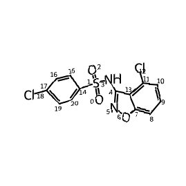 O=S(=O)(Nc1noc2cccc(Cl)c12)c1ccc(Cl)cc1